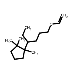 C=COCCCC(CC)C1(C)CCCC1(C)C